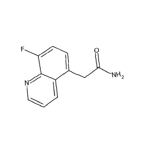 NC(=O)Cc1ccc(F)c2ncccc12